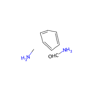 CN.NC=O.c1ccccc1